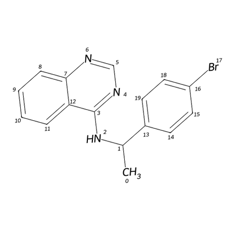 CC(Nc1ncnc2ccccc12)c1ccc(Br)cc1